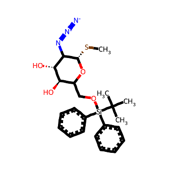 CS[C@@H]1OC(CO[Si](c2ccccc2)(c2ccccc2)C(C)(C)C)[C@@H](O)[C@H](O)C1N=[N+]=[N-]